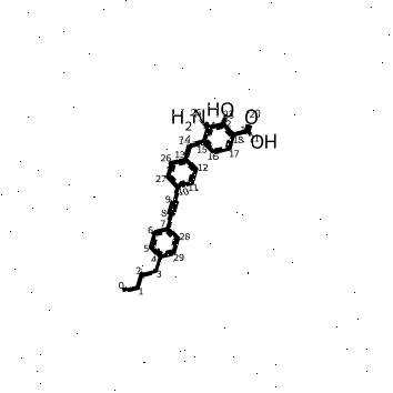 CCCCc1ccc(C#Cc2ccc(Cc3ccc(C(=O)O)c(O)c3N)cc2)cc1